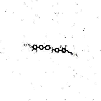 C/C=C/CCc1ccc(C2CCC(C(=O)OC3CCC(C4CCC(c5ccc(OCC)c(F)c5F)CC4)CC3)CC2)c(F)c1F